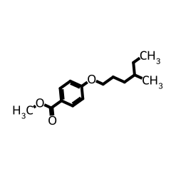 CCC(C)CCCOc1ccc(C(=O)OC)cc1